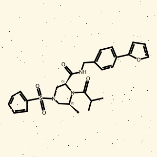 CC(C)C(=O)N1[C@@H](C)CN(S(=O)(=O)c2ccccc2)C[C@H]1C(=O)NCc1ccc(-c2ccco2)cc1